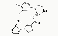 Cn1nccc1C1C=C(C(=O)N[C@H]2CNCCC2c2ccc(F)c(F)c2)SC1